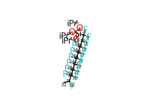 CC(C)O[Si](OC(C)C)(OC(C)C)C(F)(F)C(F)(F)C(F)(F)C(F)(F)C(F)(F)C(F)(F)C(F)(F)C(F)(F)C(C)F